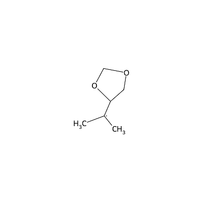 C[C](C)C1COCO1